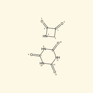 O=C1CNC1=O.O=c1[nH]c(=O)[nH]c(=O)[nH]1